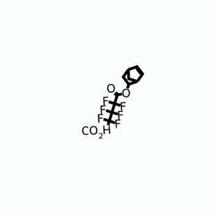 O=C(O)C(F)(F)C(F)(F)C(F)(F)C(=O)OC1CC2C=CC1C2